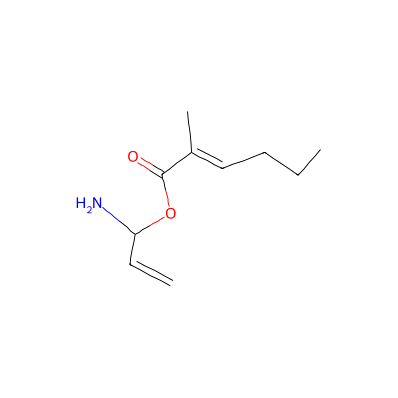 C=CC(N)OC(=O)C(C)=CCCC